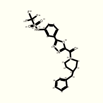 O=C(c1nnc(-c2cccc(NS(=O)(=O)C(F)(F)F)c2)o1)N1CCC(Cc2ccccc2)CC1